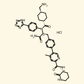 Cc1cc(C(=O)N[C@@H]2CCCNC2=O)ncc1-c1ccc(C[C@@H](C(N)=O)N(c2ccc(-c3nnn[nH]3)cc2)C(=O)[C@H]2CC[C@H](CN)CC2)cc1.Cl